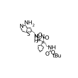 C[C@@H](C(=O)NCc1cc2c(N)nccc2s1)[C@@](CCNC(=O)OC(C)(C)C)(C(N)=O)c1ccccc1